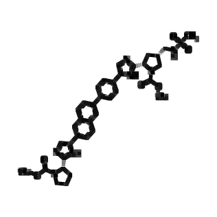 CC(C)(C)OC(=O)N1CCC[C@H]1c1ncc(-c2ccc3cc(-c4ccc(-c5cnc([C@@H]6C[C@H](CNS(C)(=O)=O)CN6C(=O)OC(C)(C)C)[nH]5)cc4)ccc3c2)[nH]1